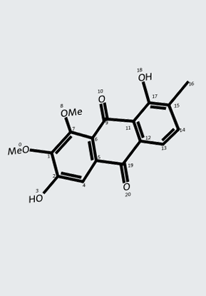 COc1c(O)cc2c(c1OC)C(=O)c1c(ccc(C)c1O)C2=O